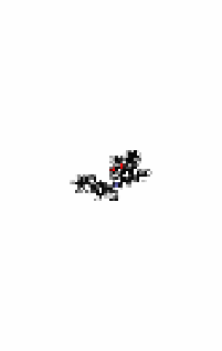 CCC(C)(C)c1cc(/C=C/C(=O)c2ccc(OC(=O)C(C)(C)C)cc2)c(OC)c(C(C)(C)CC)c1OC(=O)C(C)(C)C